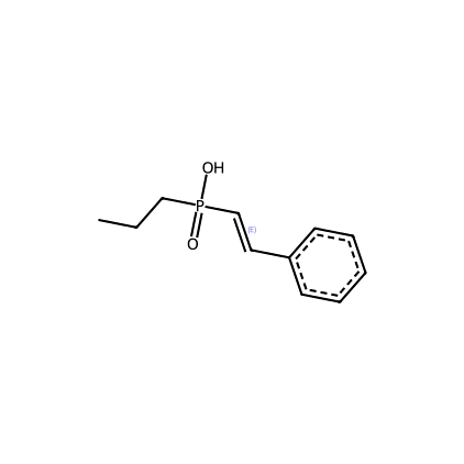 CCCP(=O)(O)/C=C/c1ccccc1